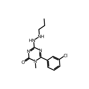 CCCNNc1nc(-c2cccc(Cl)c2)n(C)c(=O)n1